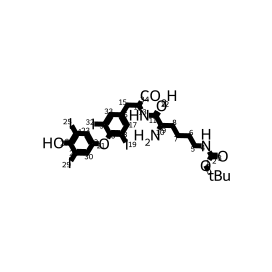 CC(C)(C)OC(=O)NCCCCC(N)C(=O)NC(Cc1cc(I)c(Oc2cc(I)c(O)c(I)c2)c(I)c1)C(=O)O